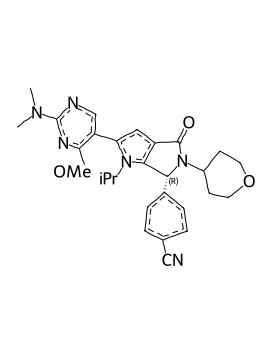 COc1nc(N(C)C)ncc1-c1cc2c(n1C(C)C)[C@@H](c1ccc(C#N)cc1)N(C1CCOCC1)C2=O